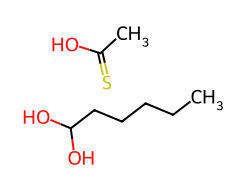 CC(O)=S.CCCCCC(O)O